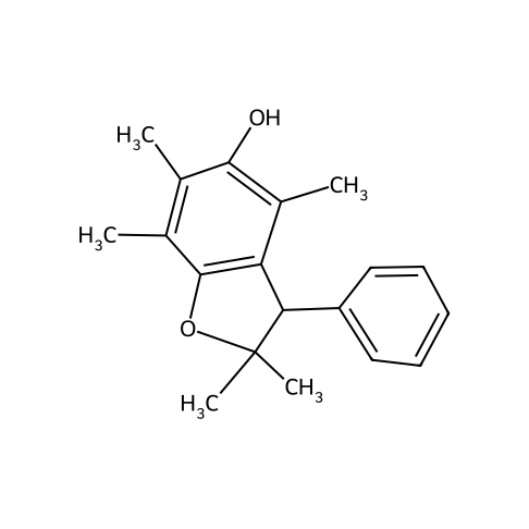 Cc1c(C)c2c(c(C)c1O)C(c1ccccc1)C(C)(C)O2